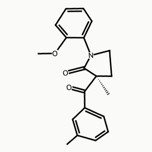 COc1ccccc1N1CC[C@@](C)(C(=O)c2cccc(C)c2)C1=O